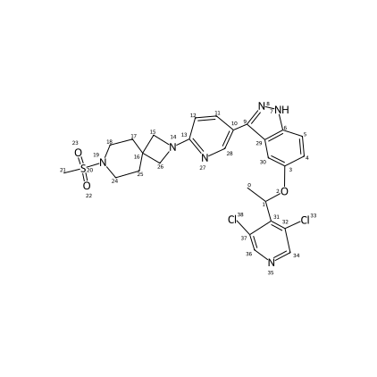 CC(Oc1ccc2[nH]nc(-c3ccc(N4CC5(CCN(S(C)(=O)=O)CC5)C4)nc3)c2c1)c1c(Cl)cncc1Cl